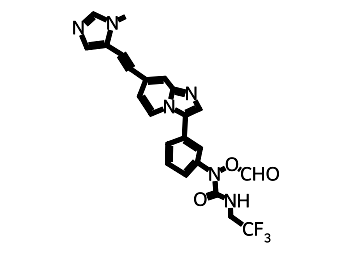 Cn1cncc1C#Cc1ccn2c(-c3cccc(N(OC=O)C(=O)NCC(F)(F)F)c3)cnc2c1